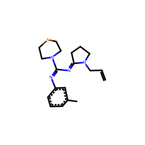 C=CCN1CCCC1=NC(=Nc1cccc(C)c1)N1CCSCC1